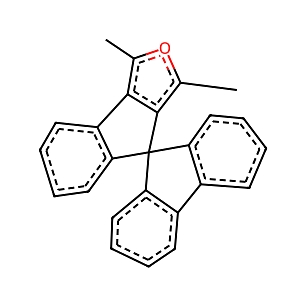 Cc1oc(C)c2c1-c1ccccc1C21c2ccccc2-c2ccccc21